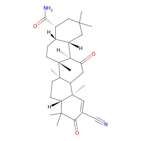 CC1(C)C[C@H]2[C@H](CC[C@]3(C)[C@@H]2C(=O)CC2[C@@]4(C)C=C(C#N)C(=O)C(C)(C)[C@@H]4CC[C@]23C)[C@H](C(N)=O)C1